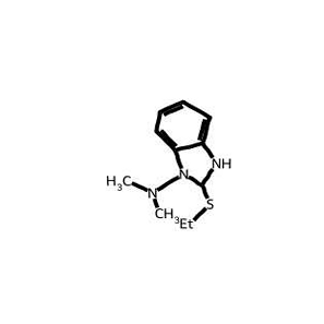 CCSC1Nc2ccccc2N1N(C)C